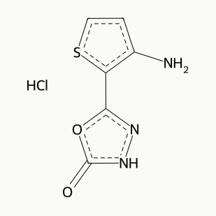 Cl.Nc1ccsc1-c1n[nH]c(=O)o1